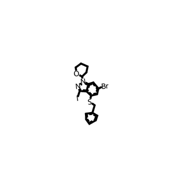 Brc1cc(SCc2ccccc2)c2c(I)nn(C3CCCCO3)c2c1